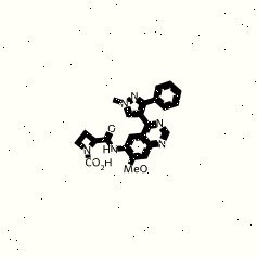 COc1cc2ncnc(-c3cn(C)nc3-c3ccccc3)c2cc1NC(=O)C1CCN1C(=O)O